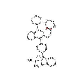 BC(B)(B)c1nc2ccccc2n1-c1ccc(-c2c3ccccc3c(-c3ccccc3-c3ccncc3)c3ccccc23)cc1